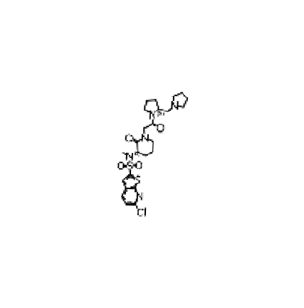 CN([C@H]1CCCN(CC(=O)N2CCC[C@H]2CN2CCCC2)C1=O)S(=O)(=O)c1cc2ccc(Cl)nc2s1